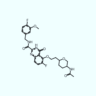 COc1cc(CNC(=O)c2nc3ccc(F)c(OCCC4CCC(NC(C)=O)CO4)c3c(=O)[nH]2)ccc1F